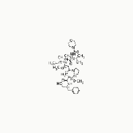 CC[C@H](C)[C@@H]([C@@H](CC(=O)N1CCC[C@H]1[C@H](OC)[C@@H](C)C(=O)N[C@H](CO)Cc1ccccc1)OC)N(C)C(=O)[C@@H](NC(=O)N1CCOCC1)C(C)C